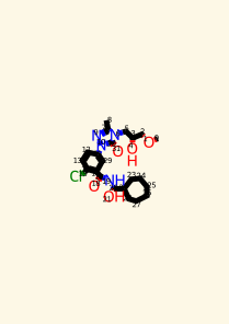 COCC(O)Cn1c(C)nn(-c2ccc(Cl)c(C(=O)NC(O)C3CCCCCC3)c2)c1=O